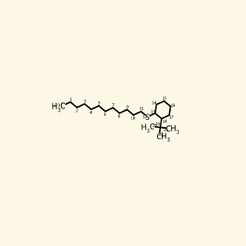 CCCCCCCCCCCCSC1CCCCC1C(C)(C)C